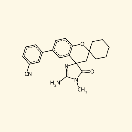 CN1C(=O)C2(CC3(CCCCC3)Oc3ccc(-c4cccc(C#N)c4)cc32)N=C1N